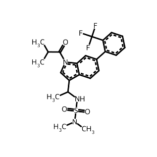 CC(C)C(=O)n1cc(C(C)NS(=O)(=O)N(C)C)c2ccc(-c3ccccc3C(F)(F)F)cc21